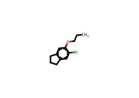 CCCOc1cc2c(cc1Br)CCC2